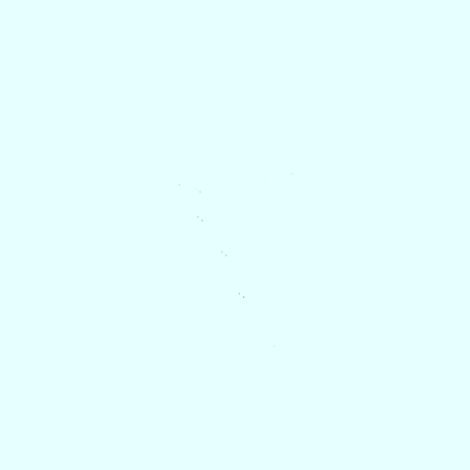 O=C(c1ccc(Cl)cc1)c1ccc2c(c1)c(N1CCN(S(=O)(=O)C(F)(F)F)CC1)nn2C(c1ccccc1)(c1ccccc1)c1ccccc1